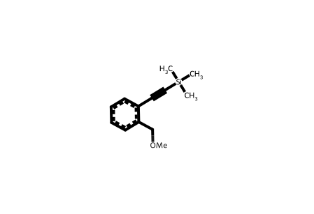 COCc1ccccc1C#C[Si](C)(C)C